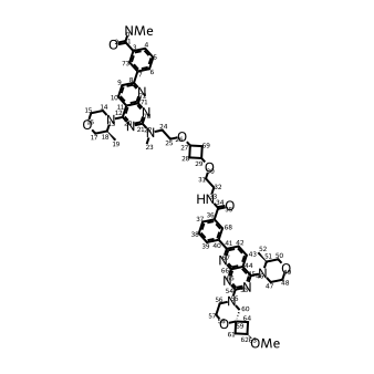 CNC(=O)c1cccc(-c2ccc3c(N4CCOC[C@@H]4C)nc(N(C)CCOC4CC(OCCNC(=O)c5cccc(-c6ccc7c(N8CCOC[C@@H]8C)nc(N8CCO[C@]9(C8)C[C@@H](OC)C9)nc7n6)c5)C4)nc3n2)c1